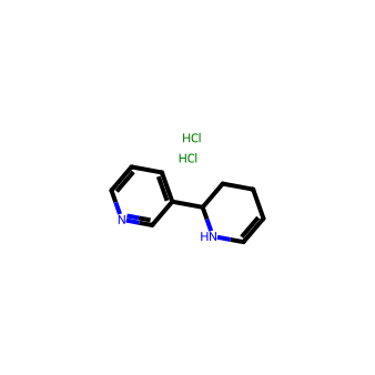 C1=CNC(c2cccnc2)CC1.Cl.Cl